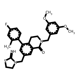 COc1cc(CN2CCc3c(cc(CN4CCSC4=N)cc3-c3ccc(F)cc3C)C2=O)cc(OC)c1